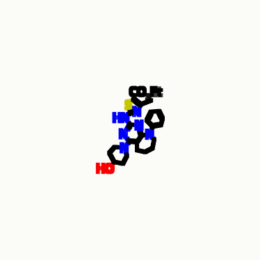 CCOC(=O)c1sc(Nc2nc(N3CCC(O)CC3)c3c(n2)N(c2ccccc2)CCCC3)nc1C